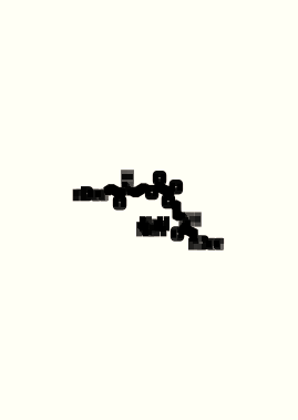 CCCCCCCCCCCC(=O)NCCOC(=O)C(=O)OCCNC(=O)CCCCCCCCCCC.[NaH].[NaH]